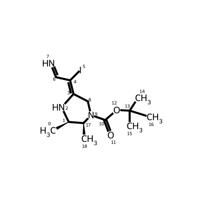 C[C@H]1N/C(=C(/I)C=N)CN(C(=O)OC(C)(C)C)[C@H]1C